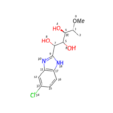 COC(C)[C@H](O)C(O)C(O)c1nc2cc(Cl)ccc2[nH]1